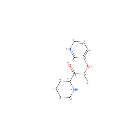 CC(Oc1cccnc1)C(=O)C1CCCCN1